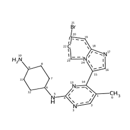 Cc1cnc(NC2CCC(N)CC2)nc1-c1cnc2cc(Br)ccn12